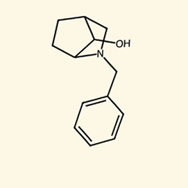 OC1C2CCC1N(Cc1ccccc1)C2